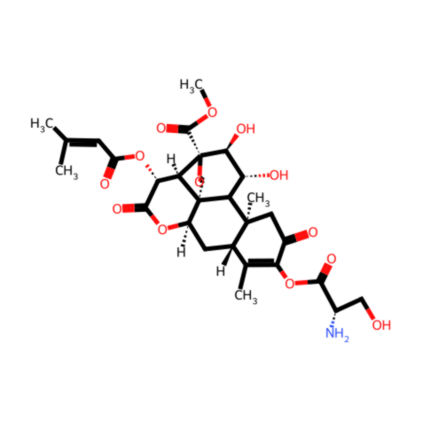 COC(=O)[C@@]12OC[C@]34C([C@@H](O)[C@@H]1O)[C@@]1(C)CC(=O)C(OC(=O)[C@@H](N)CO)=C(C)[C@@H]1C[C@H]3OC(=O)[C@H](OC(=O)C=C(C)C)[C@@H]24